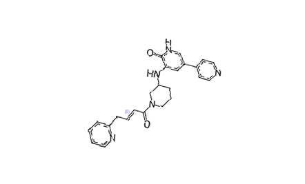 O=C(/C=C/Cc1ccccn1)N1CCCC(Nc2cc(-c3ccncc3)c[nH]c2=O)C1